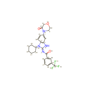 O=C(/N=c1\[nH]c2cc(N3CCOCC3=O)ccc2n1C1CCCCC1)c1cccc(C(F)(F)F)c1